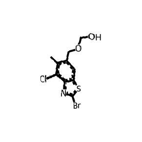 Cc1c(COCO)cc2sc(Br)nc2c1Cl